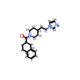 O=C(C1CCc2ccccc2C1)N1CCC(CCn2ccnc2)CC1